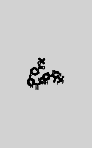 Cc1c(-c2ccc3nc(Nc4cc(CN5CCN(C(=O)OC(C)(C)C)CC5)ccn4)[nH]c3c2)ncnc1C(F)(F)F